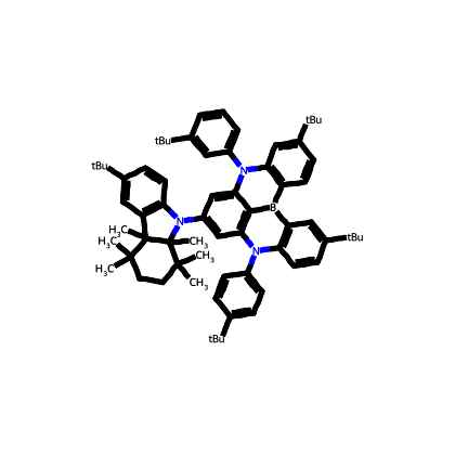 CC(C)(C)c1ccc(N2c3ccc(C(C)(C)C)cc3B3c4ccc(C(C)(C)C)cc4N(c4cccc(C(C)(C)C)c4)c4cc(N5c6ccc(C(C)(C)C)cc6C6(C)C(C)(C)CCC(C)(C)C56C)cc2c43)cc1